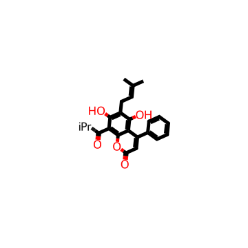 CC(C)=CCc1c(O)c(C(=O)C(C)C)c2oc(=O)cc(-c3ccccc3)c2c1O